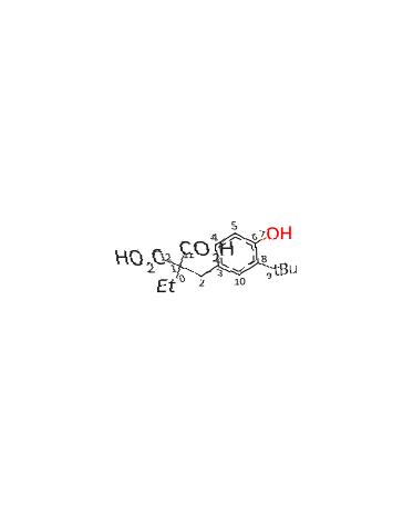 CCC(Cc1ccc(O)c(C(C)(C)C)c1)(C(=O)O)C(=O)O